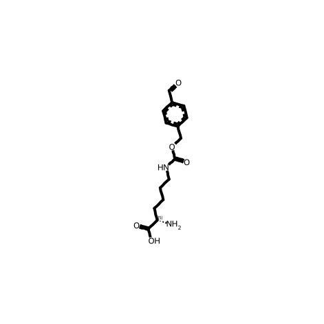 N[C@@H](CCCCNC(=O)OCc1ccc(C=O)cc1)C(=O)O